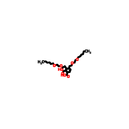 CCCCCCOCCOCCc1ccc(C(=O)O)c(C(=O)O)c1CCOCCOCCCCCC